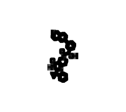 O=C([C@H](O)c1cccc(-c2ccc3cnccc3c2)c1)N1CCc2nc(C3(c4ccccc4)CC3)[nH]c(=O)c2C1